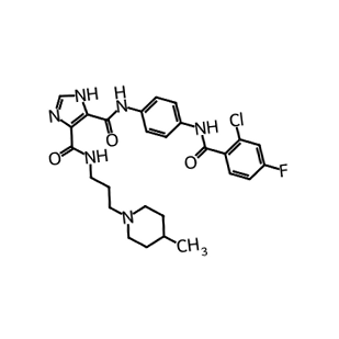 CC1CCN(CCCNC(=O)c2nc[nH]c2C(=O)Nc2ccc(NC(=O)c3ccc(F)cc3Cl)cc2)CC1